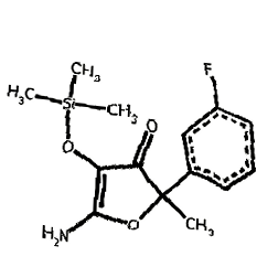 CC1(c2cccc(F)c2)OC(N)=C(O[Si](C)(C)C)C1=O